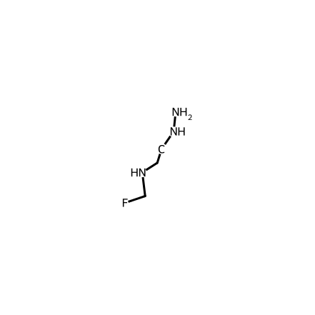 NNCCNCF